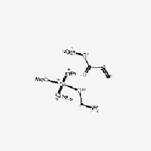 C=CC(=O)OCCCCCCCC.CCC[Si](OC)(OC)OCN